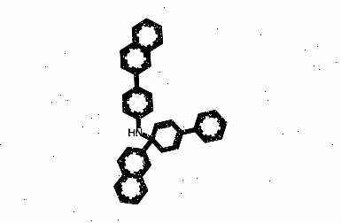 C1=CC(Nc2ccc(-c3ccc4ccccc4c3)cc2)(c2ccc3ccccc3c2)CC=C1c1ccccc1